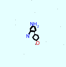 CO[C@H]1CC[C@@H](c2ccc(N)cc2C#N)CC1